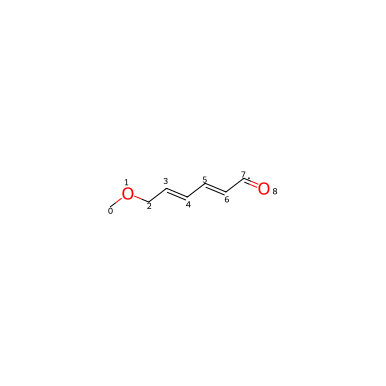 COCC=CC=C[C]=O